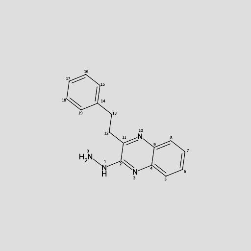 NNc1nc2ccccc2nc1CCc1ccccc1